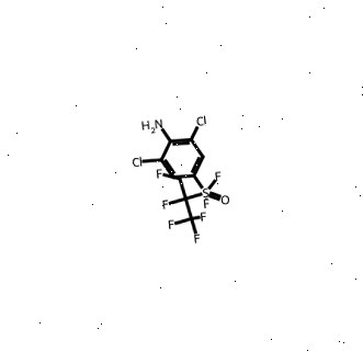 Nc1c(Cl)cc(S(=O)(F)(F)C(F)(CF)C(F)(F)F)cc1Cl